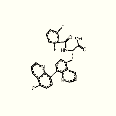 O=C(N[C@@H](Cc1ccc(-c2ccc(F)c3cccnc23)c2ncccc12)C(=O)O)c1c(F)cccc1F